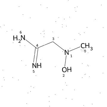 CN(O)CC(=N)N